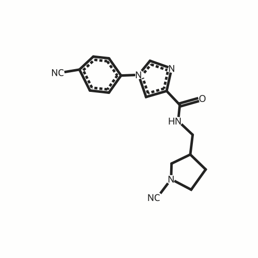 N#Cc1ccc(-n2cnc(C(=O)NCC3CCN(C#N)C3)c2)cc1